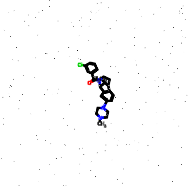 C[C@H]1C2CCN(C(=O)c3cccc(Cl)c3)C1c1cc(N3CCN(C)CC3)ccc12